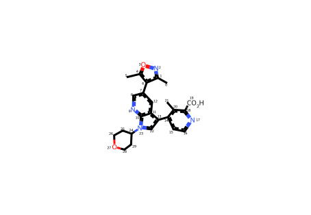 Cc1noc(C)c1-c1cnc2c(c1)c(-c1ccnc(C(=O)O)c1C)cn2C1CCOCC1